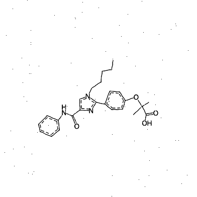 CCCCCn1cc(C(=O)Nc2ccccc2)nc1-c1ccc(OC(C)(C)C(=O)O)cc1